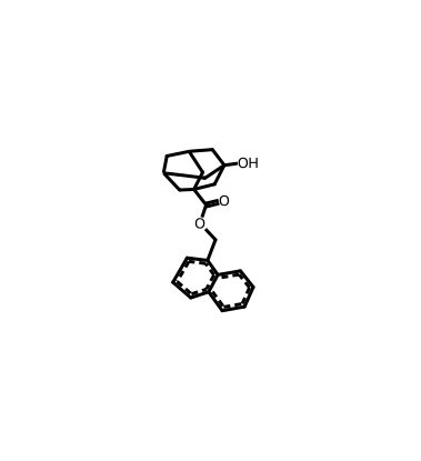 O=C(OCc1cccc2ccccc12)C12CC3CC(CC(O)(C3)C1)C2